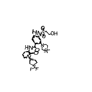 C[Si]1(C)CCN(c2cc(NS(=O)(=O)CCO)ccc2C(=O)Nc2cccn([C@H]3CC[C@H](C(F)F)C3)c2=O)CC1